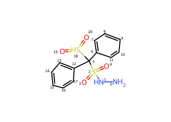 NNS(=O)(=O)C(c1ccccc1)(c1ccccc1)[SH](=O)=O